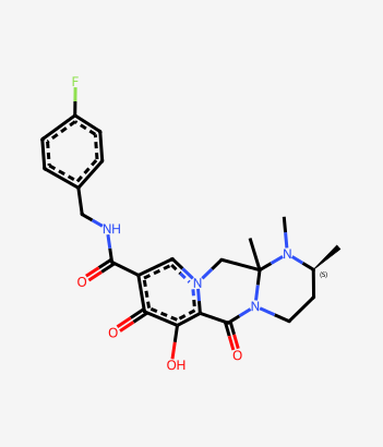 C[C@H]1CCN2C(=O)c3c(O)c(=O)c(C(=O)NCc4ccc(F)cc4)cn3CC2(C)N1C